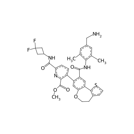 COC(=O)c1nc(C(=O)NC2CC(F)(F)C2)ccc1-c1cc2c(cc1C(=O)Nc1c(C)cc(CN)cc1C)-c1sccc1CCO2